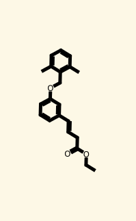 CCOC(=O)CC=Cc1cccc(OCc2c(C)cccc2C)c1